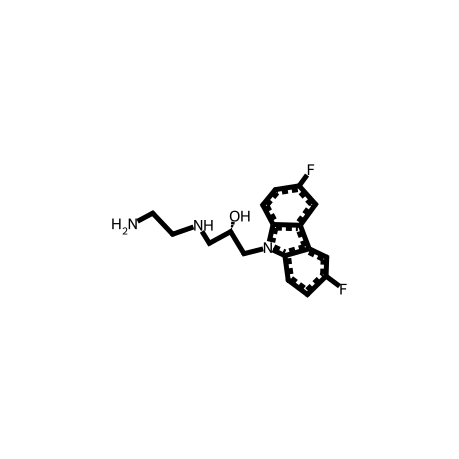 NCCNC[C@H](O)Cn1c2ccc(F)cc2c2cc(F)ccc21